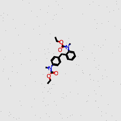 CCOC(=O)N(C)c1ccc(Cc2ccccc2N(C)C(=O)OCC)cc1